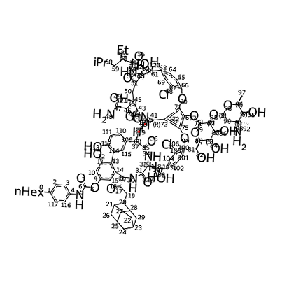 CCCCCCc1ccc(NC(=O)Oc2cc(O)c3c(c2)[C@@H](C(=O)CC2C4CC5CC(C4)CC2C5)NC(=O)[C@H]2NC(=O)[C@H](CC(=O)[C@@H]4NC(=O)[C@H](CC(N)=O)CC(=O)[C@H](NC(=O)[C@H](CC)CC(C)C)[C@H](O)c5ccc(c(Cl)c5)Oc5cc4cc(c5O[C@@H]4O[C@H](CO)[C@@H](O)[C@H](O)[C@H]4O[C@H]4C[C@](C)(N)[C@H](O)[C@H](C)O4)Oc4ccc(cc4Cl)[C@H]2O)c2ccc(O)c-3c2)cc1